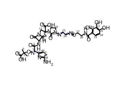 CC(C)(O/N=C(\C(=O)NC1C(=O)N2CC(C(=O)O)(N3CCN(/N=C/C=N/OCCNC(=O)c4ccc(O)c(O)c4Cl)C3=O)S[C@H]12)c1csc(N)n1)C(=O)O